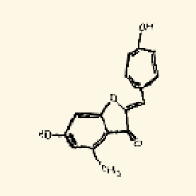 Cc1cc(O)cc2c1C(=O)/C(=C/c1ccc(O)cc1)O2